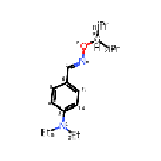 CCN(CC)c1ccc(C=NO[SiH](C(C)C)C(C)C)cc1